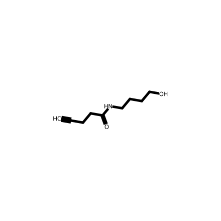 C#CCCC(=O)NCCCCO